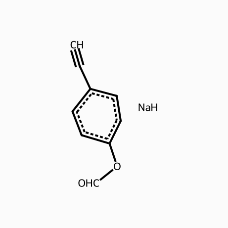 C#Cc1ccc(OC=O)cc1.[NaH]